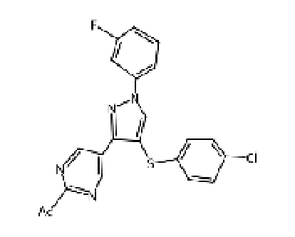 CC(=O)c1ncc(-c2nn(-c3cccc(F)c3)cc2Sc2ccc(Cl)cc2)cn1